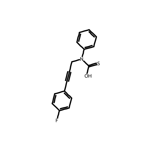 OC(=S)N(CC#Cc1ccc(F)cc1)c1ccccc1